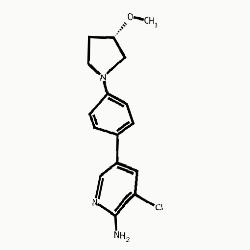 CO[C@H]1CCN(c2ccc(-c3cnc(N)c(Cl)c3)cc2)C1